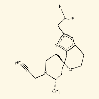 C#CCN1CC[C@]2(C[C@@H]1C)OCCc1cc(CC(F)F)sc12